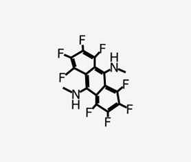 CNc1c2c(F)c(F)c(F)c(F)c2c(NC)c2c(F)c(F)c(F)c(F)c12